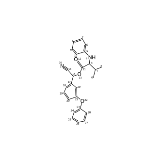 CC(C)C(Nc1ccccc1)C(=O)OC(C#N)c1cccc(Oc2ccccc2)c1